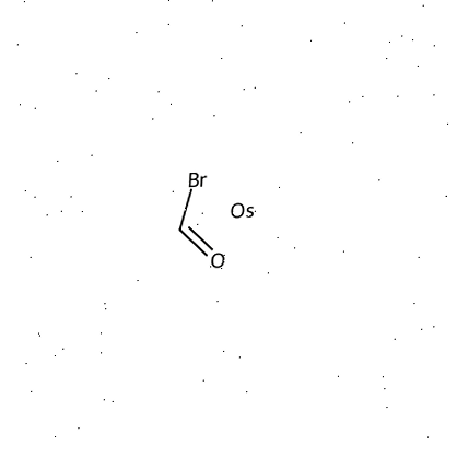 O=CBr.[Os]